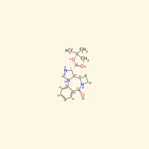 CC(C)(C)OC(=O)[C@H]1N=CN2c3ccccc3C(=O)N3CCC3C12